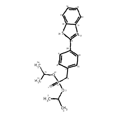 CC(C)OP(=O)(Cc1ccc(-c2nc3ccccc3s2)cc1)OC(C)C